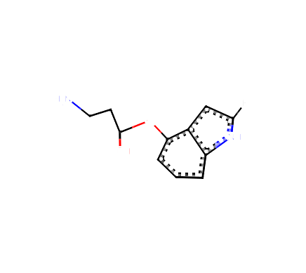 CCc1cc2c(OC(O)CCN)cccc2[nH]1